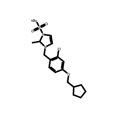 CCCCS(=O)(=O)N1C=CN(Cc2ccc(OCC3CCCC3)cc2Cl)C1C